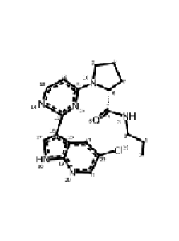 CCCNC(=O)[C@H]1CCCN1c1ccnc(-c2c[nH]c3ncc(Cl)cc23)n1